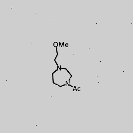 COCCN1CCCN(C(C)=O)CC1